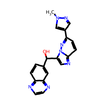 Cn1cc(-c2ccc3ncc(C(O)c4ccc5nccnc5c4)n3n2)cn1